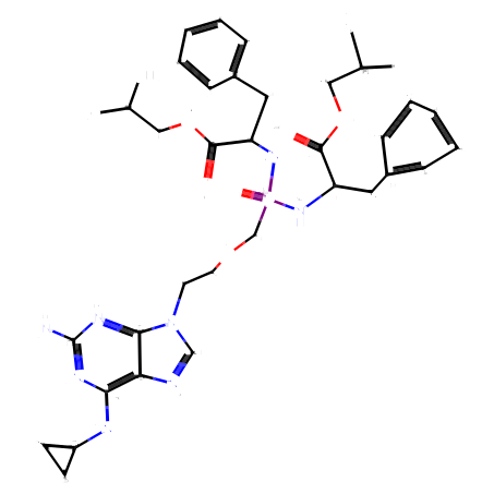 CC(C)COC(=O)C(Cc1ccccc1)NP(=O)(COCCn1cnc2c(NC3CC3)nc(N)nc21)NC(Cc1ccccc1)C(=O)OCC(C)C